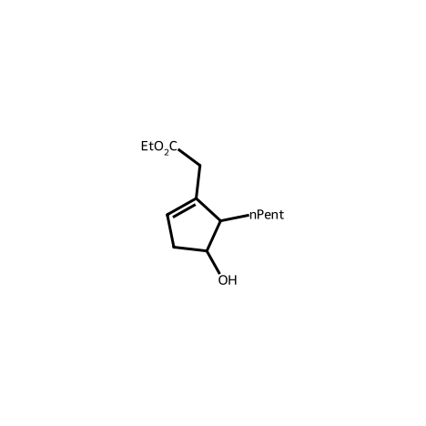 CCCCCC1C(CC(=O)OCC)=CCC1O